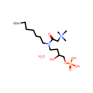 CCCCCCCCCCCCCCCCN(CCC(O)COP(=O)(O)O)C(=O)C[N+](C)(C)C.O